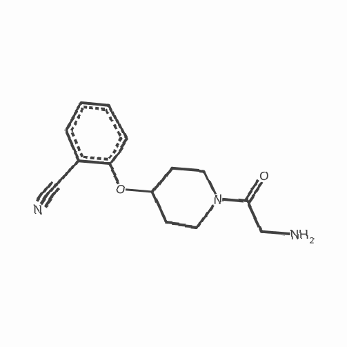 N#Cc1ccccc1OC1CCN(C(=O)CN)CC1